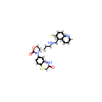 O=C1CSc2ccc(N3C(=O)OC[C@@H]3CCCNCc3c(F)ccc4ncccc34)cc2N1